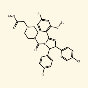 CCOc1cc(C(F)(F)F)ccc1C1=NC(c2ccc(Cl)cc2)C(c2ccc(Cl)cc2)N1C(=O)N1CCN(CC(=O)NC)CC1